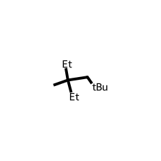 CCC(C)(CC)CC(C)(C)C